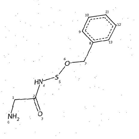 NCC(=O)NSOCc1ccccc1